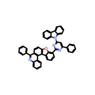 c1ccc(-c2cc(-n3c4ccccc4c4ccccc43)nc(-c3cccc4c3oc3ccc5c(-c6ccccc6)nc6ccccc6c5c34)n2)cc1